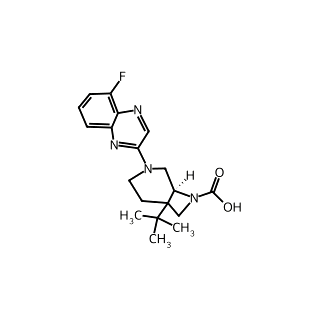 CC(C)(C)C12CCN(c3cnc4c(F)cccc4n3)C[C@H]1N(C(=O)O)C2